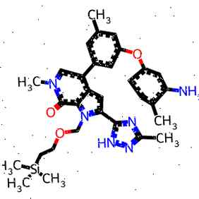 Cc1cc(Oc2ccc(C)c(N)c2)cc(-c2cn(C)c(=O)c3c2cc(-c2nc(C)n[nH]2)n3COCC[Si](C)(C)C)c1